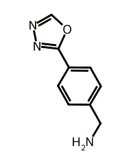 NCc1ccc(-c2nnco2)cc1